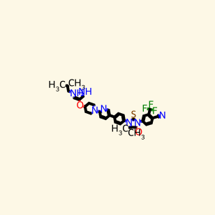 CC(C)CN/C=C(\C=N)OC1CCN(c2ccc(-c3ccc(N4C(=S)N(c5ccc(C#N)c(C(F)(F)F)c5)C(=O)C4(C)C)cc3)cn2)CC1